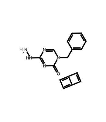 NNc1ncn(Cc2ccccc2)c(=O)n1.c1cc2ccc1-2